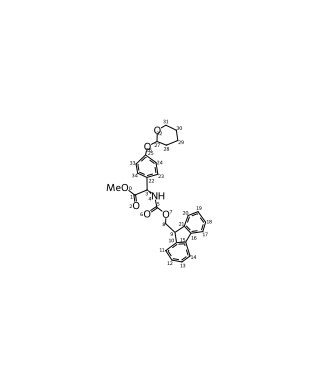 COC(=O)[C@H](NC(=O)OCC1c2ccccc2-c2ccccc21)c1ccc(OC2CCCCO2)cc1